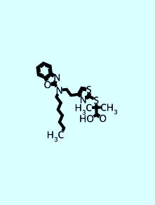 CCCCCCCN(CCc1csc(SC(C)(C)C(=O)O)n1)c1nc2ccccc2o1